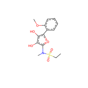 CCS(=O)(=O)N(C)c1oc(-c2ccccc2OC)c(O)c1O